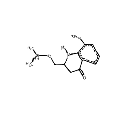 CCN1c2c(cccc2C(C)(C)C)C(=O)CC1CO[SiH](C)C